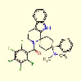 CN(C)C1(c2ccccc2)CCC2(CC1)c1[nH]c3ccccc3c1CCN2C(=O)c1c(F)c(F)c(F)c(F)c1F